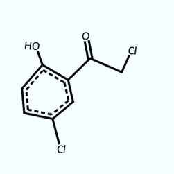 O=C(CCl)c1cc(Cl)ccc1O